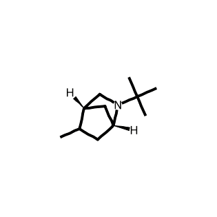 CC1C[C@@H]2C[C@H]1CN2C(C)(C)C